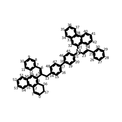 C1=Cc2c(c(/C(=C\c3ccccc3)Cc3ccc(-c4ccc(N(/C=C/c5ccccc5)c5cc6ccccc6c6ccccc56)cc4)cc3)cc3ccccc23)CC1